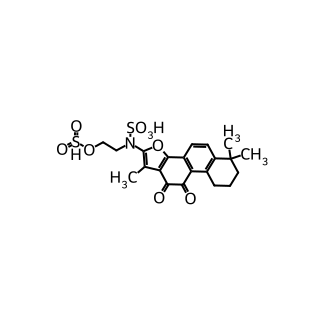 Cc1c(N(CCO[SH](=O)=O)S(=O)(=O)O)oc2c1C(=O)C(=O)c1c-2ccc2c1CCCC2(C)C